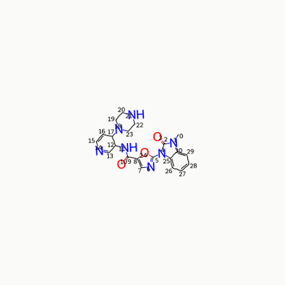 Cn1c(=O)n(-c2ncc(C(=O)NC3C=NC=CC3N3CCNCC3)o2)c2ccccc21